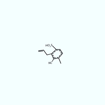 C=CCc1c(S(=O)(=O)O)ccc(C)c1C#N